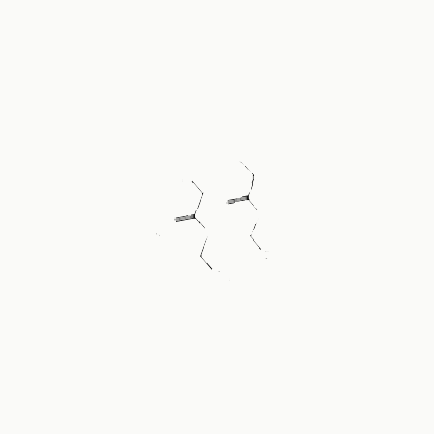 CCOC(=O)CC.CCOC(=O)CC.N